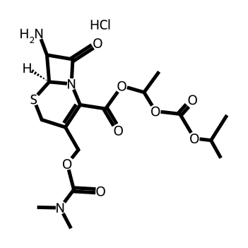 CC(C)OC(=O)OC(C)OC(=O)C1=C(COC(=O)N(C)C)CS[C@H]2C(N)C(=O)N12.Cl